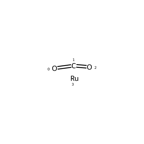 O=C=O.[Ru]